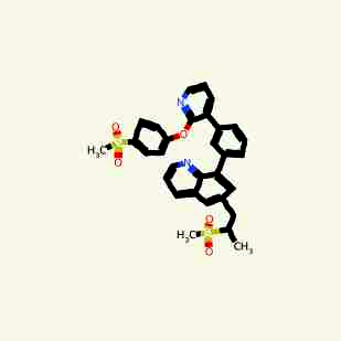 CC(Cc1cc(-c2cccc(-c3cccnc3Oc3ccc(S(C)(=O)=O)cc3)c2)c2ncccc2c1)S(C)(=O)=O